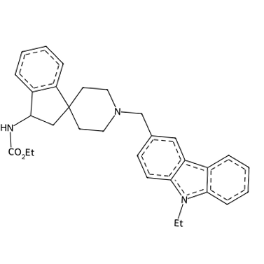 CCOC(=O)NC1CC2(CCN(Cc3ccc4c(c3)c3ccccc3n4CC)CC2)c2ccccc21